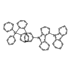 c1ccc([Si](c2ccccc2)(c2ccccc2)c2ccccc2-c2cccc(-n3c4ccccc4c4c(-n5c6ccccc6c6ccccc65)cccc43)c2)cc1